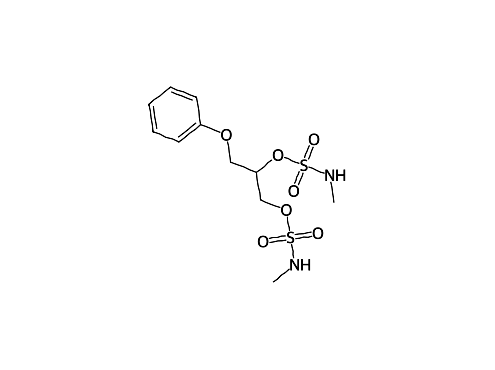 CNS(=O)(=O)OCC(COc1ccccc1)OS(=O)(=O)NC